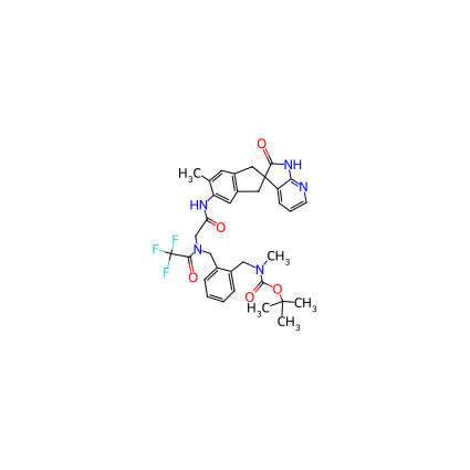 Cc1cc2c(cc1NC(=O)CN(Cc1ccccc1CN(C)C(=O)OC(C)(C)C)C(=O)C(F)(F)F)CC1(C2)C(=O)Nc2ncccc21